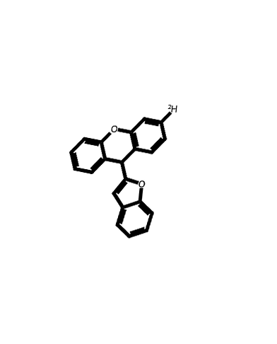 [2H]c1ccc2c(c1)Oc1ccccc1C2c1cc2ccccc2o1